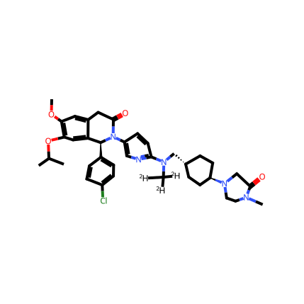 [2H]C([2H])([2H])N(C[C@H]1CC[C@H](N2CCN(C)C(=O)C2)CC1)c1ccc(N2C(=O)Cc3cc(OC)c(OC(C)C)cc3[C@@H]2c2ccc(Cl)cc2)cn1